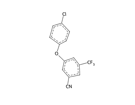 N#Cc1cc(Oc2ccc(Cl)cc2)cc(C(F)(F)F)c1